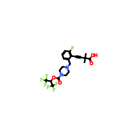 CC(C)(C#Cc1c(F)cccc1CN1CCN(C(=O)OC(C(F)(F)F)C(F)(F)F)CC1)C(=O)O